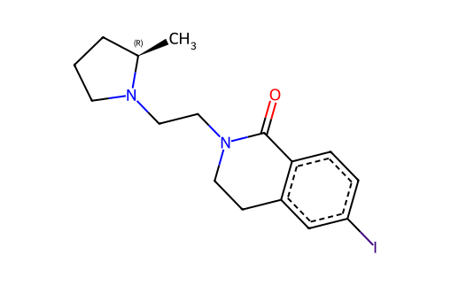 C[C@@H]1CCCN1CCN1CCc2cc(I)ccc2C1=O